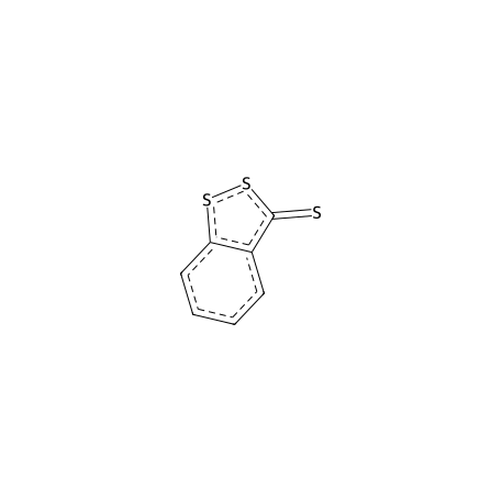 S=c1ssc2ccccc12